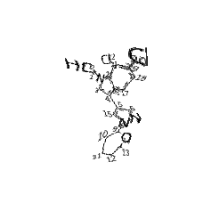 C#Cn1cc(-c2cnn(C3CCCCO3)c2)c2ccc(Cl)c(Cl)c21